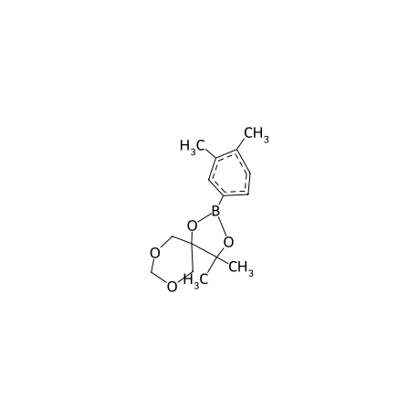 Cc1ccc(B2OC(C)(C)C3(COCOC3)O2)cc1C